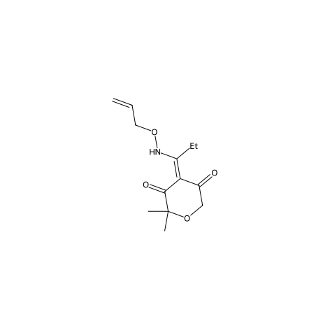 C=CCONC(CC)=C1C(=O)COC(C)(C)C1=O